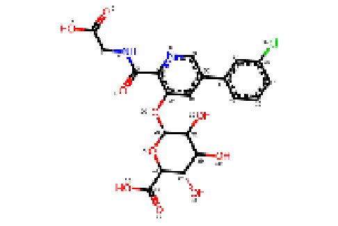 O=C(O)CNC(=O)c1ncc(-c2cccc(Cl)c2)cc1O[C@@H]1OC(C(=O)O)[C@@H](O)C(O)C1O